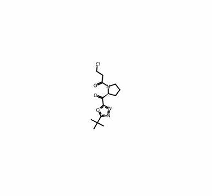 CC(C)(C)c1nnc(C(=O)[C@@H]2CCCN2C(=O)CCCl)o1